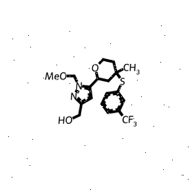 COCn1nc(CO)cc1C1CC(C)(Sc2cccc(C(F)(F)F)c2)CCO1